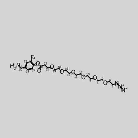 [N-]=[N+]=NCCOCCOCCOCCOCCOCCOCCC(=O)Oc1ccc(CN)cc1F